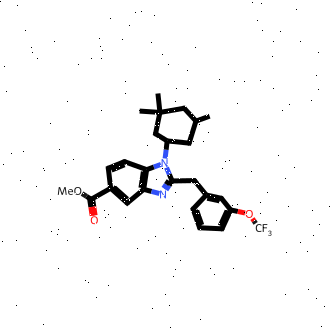 COC(=O)c1ccc2c(c1)nc(Cc1cccc(OC(F)(F)F)c1)n2C1CC(C)CC(C)(C)C1